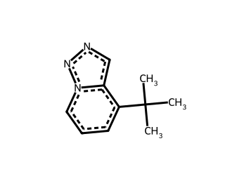 CC(C)(C)c1cccn2nncc12